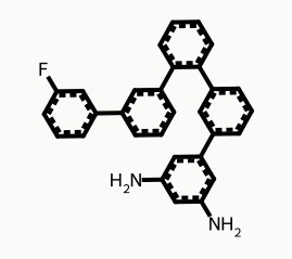 Nc1cc(N)cc(-c2cccc(-c3ccccc3-c3cccc(-c4cccc(F)c4)c3)c2)c1